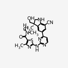 Cc1nc(Nc2nccc(-c3cc(C#N)c4c(c3)[C@@](C)(CO)CN4)n2)sc1C(=O)N(C)C